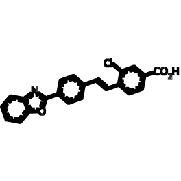 O=C(O)c1ccc(C=Cc2ccc(-c3nc4ccccc4o3)cc2)c(Cl)c1